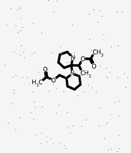 CC(=O)OCC1CCCCN1C1(C(C)OC(C)=O)CCCC[N]1